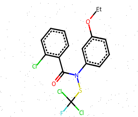 CCOc1cccc(N(SC(F)(Cl)Cl)C(=O)c2ccccc2Cl)c1